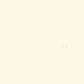 CC(Cc1ccc(CC(C)(C)C2CCC(C(C)C)CC2)c(F)c1)c1ccccc1